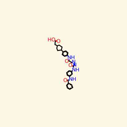 O=C(O)CC1CCC(c2ccc(NC(=O)c3nnc(Nc4cccc(NC(=O)c5ccccc5)c4)o3)cc2)CC1